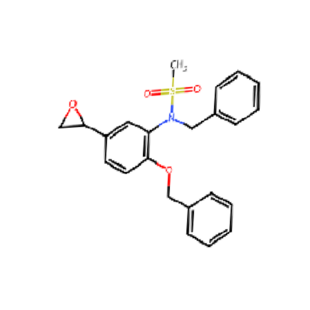 CS(=O)(=O)N(Cc1ccccc1)c1cc(C2CO2)ccc1OCc1ccccc1